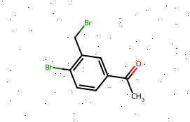 CC(=O)c1ccc(Br)c(CBr)c1